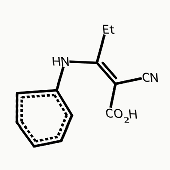 CCC(Nc1ccccc1)=C(C#N)C(=O)O